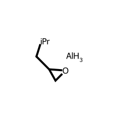 CC(C)CC1CO1.[AlH3]